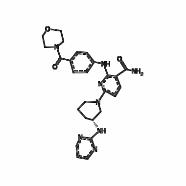 NC(=O)c1ccc(N2CCC[C@@H](Nc3ncccn3)C2)nc1Nc1ccc(C(=O)N2CCOCC2)cc1